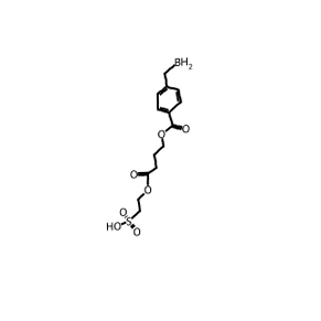 BCc1ccc(C(=O)OCCCC(=O)OCCS(=O)(=O)O)cc1